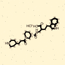 Cl.O=C(O)C(CCc1c[nH]c2ccccc12)CNC(=O)[C@H]1CCCN(C(=O)CCC2CCNCC2)C1